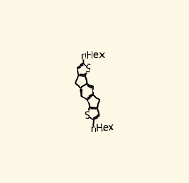 CCCCCCc1cc2c(s1)-c1cc3c(cc1C2)-c1sc(CCCCCC)cc1C3